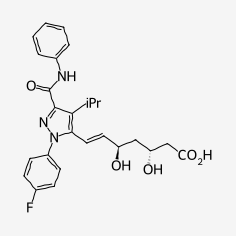 CC(C)c1c(C(=O)Nc2ccccc2)nn(-c2ccc(F)cc2)c1/C=C/[C@H](O)C[C@@H](O)CC(=O)O